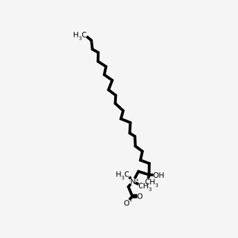 CCCCCCCCCCCCCCCCCCCCC(C)(O)C[N+](C)(C)CC(=O)[O-]